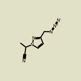 CC(C#N)n1ccc(CN=[N+]=[N-])n1